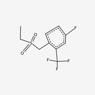 CCS(=O)(=O)Cc1ccc(F)cc1C(F)(F)F